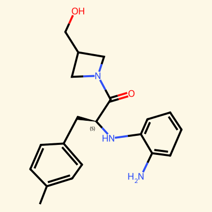 Cc1ccc(C[C@H](Nc2ccccc2N)C(=O)N2CC(CO)C2)cc1